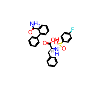 NC(=O)c1ccccc1-c1ccccc1.O=C(O)[C@H](Cc1ccccc1)NS(=O)(=O)c1ccc(F)cc1